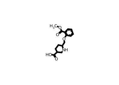 COC(=O)c1ccccc1OCC1CCC(C(=O)O)CN1